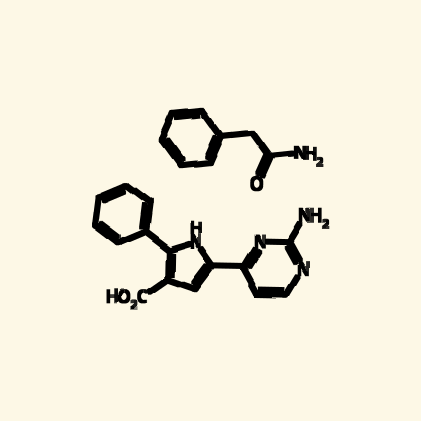 NC(=O)Cc1ccccc1.Nc1nccc(-c2cc(C(=O)O)c(-c3ccccc3)[nH]2)n1